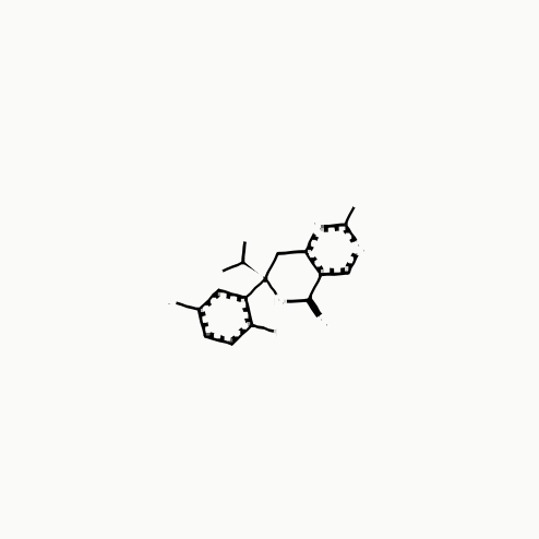 Cc1ncc2c(n1)C[C@](c1cc(Br)ccc1F)(C(F)F)NC2=N